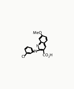 COc1ccc2cc(C(=O)O)c(Nc3cccc(Cl)c3)nc2c1